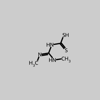 C/N=C(\NC)NC(=S)S